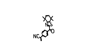 C=C(C#N)c1ccc(C(=O)c2nc3c(s2)C(C)(C)CCC3(C)C)cc1